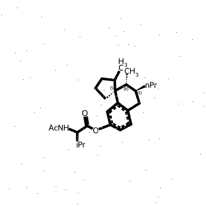 CCC[C@H]1Cc2ccc(OC(=O)C(NC(C)=O)C(C)C)cc2[C@]2(CCCC2C)[C@@H]1C